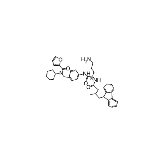 CC(CC(=O)N[C@H](CCCN)C(=O)Nc1ccc(CN(C(=O)c2ccco2)C2CCCCC2)cc1)CC1c2ccccc2-c2ccccc21